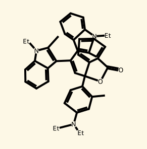 CCN(CC)c1ccc(C2(C=C(c3c(C)n(CC)c4ccccc34)c3c(C)n(CC)c4ccccc34)OC(=O)c3ccccc32)c(C)c1